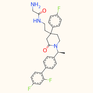 C[C@@H](c1ccc(-c2ccc(F)cc2F)cc1)N1CCC(CCNC(=O)CN)(c2ccc(F)cc2)CC1=O